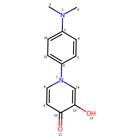 CN(C)c1ccc(-n2ccc(=O)c(O)c2)cc1